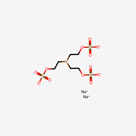 O=S(=O)([O-])OCC[S+](CCOS(=O)(=O)[O-])CCOS(=O)(=O)[O-].[Na+].[Na+]